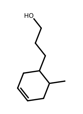 CC1CC=CCC1CCCO